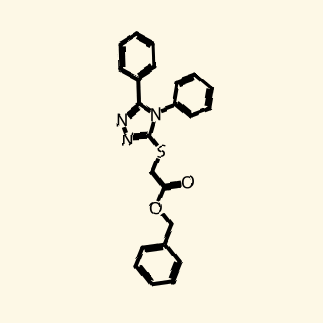 O=C(CSc1nnc(-c2ccccc2)n1-c1ccccc1)OCc1ccccc1